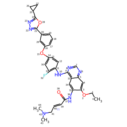 CCOc1cc2ncnc(Nc3ccc(Oc4cccc(-c5nnc(C6CC6)o5)c4)cc3F)c2cc1NC(=O)/C=C/CN(C)C